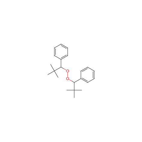 CC(C)(C)C(OOC(c1ccccc1)C(C)(C)C)c1ccccc1